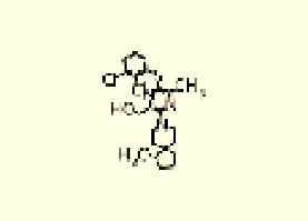 Cc1nc(N2CCC3(CCC[C@H]3C)CC2)c(CO)nc1Sc1cccc(Cl)c1Cl